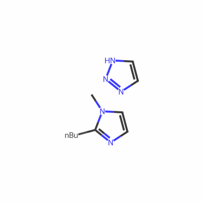 CCCCc1nccn1C.c1c[nH]nn1